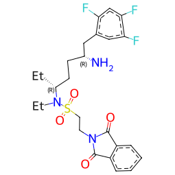 CC[C@H](CC[C@@H](N)Cc1cc(F)c(F)cc1F)N(CC)S(=O)(=O)CCN1C(=O)c2ccccc2C1=O